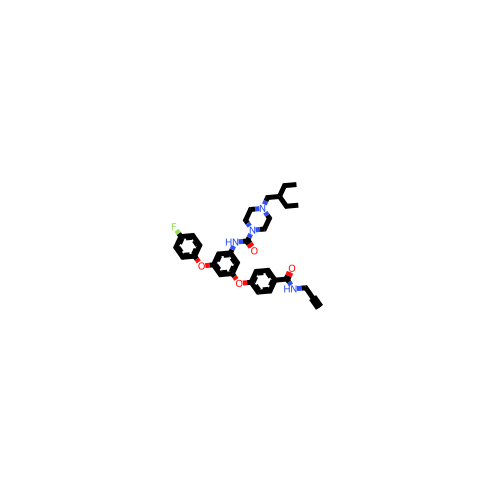 C#CCNC(=O)c1ccc(Oc2cc(NC(=O)N3CCN(CC(CC)CC)CC3)cc(Oc3ccc(F)cc3)c2)cc1